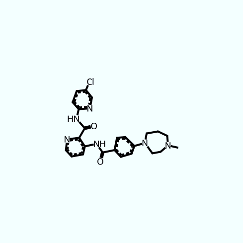 CN1CCCN(c2ccc(C(=O)Nc3cccnc3C(=O)Nc3ccc(Cl)cn3)cc2)CC1